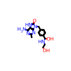 Cc1nc(N)c2[nH]c(=O)n(Cc3ccc(C(O)NCCO)cc3)c2n1